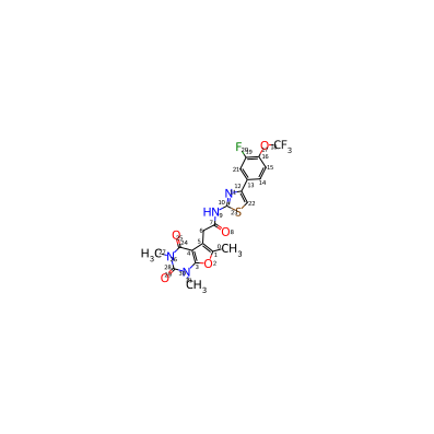 Cc1oc2c(c1CC(=O)Nc1nc(-c3ccc(OC(F)(F)F)c(F)c3)cs1)c(=O)n(C)c(=O)n2C